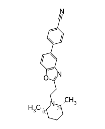 C[C@@H]1CCC[C@H](C)N1CCc1nc2cc(-c3ccc(C#N)cc3)ccc2o1